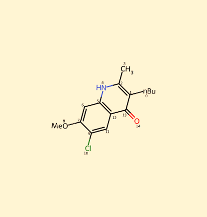 CCCCc1c(C)[nH]c2cc(OC)c(Cl)cc2c1=O